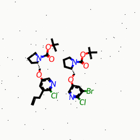 C=CCc1cc(OC[C@@H]2CCCN2C(=O)OC(C)(C)C)cnc1Cl.CC(C)(C)OC(=O)N1CCC[C@H]1COc1cnc(Cl)c(Br)c1